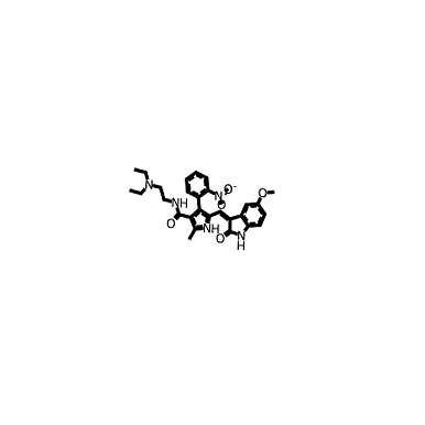 CCN(CC)CCNC(=O)c1c(C)[nH]c(C=C2C(=O)Nc3ccc(OC)cc32)c1-c1ccccc1[N+](=O)[O-]